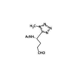 CC(=O)N[C@@H](CCC=O)c1nnnn1C